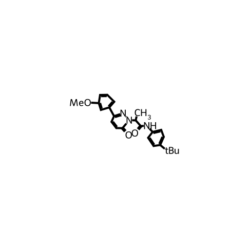 COc1cccc(-c2ccc(=O)n(C(C)C(=O)Nc3ccc(C(C)(C)C)cc3)n2)c1